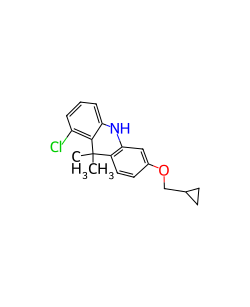 CC1(C)c2ccc(OCC3CC3)cc2Nc2cccc(Cl)c21